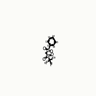 O=S(=O)(CS(=O)(=O)C(F)(F)F)c1ccccc1